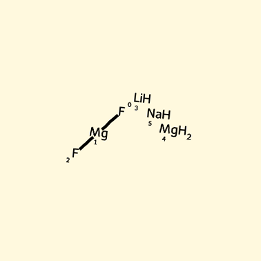 [F][Mg][F].[LiH].[MgH2].[NaH]